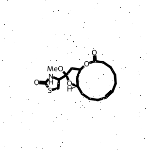 COC1(C2CSC(=O)N2)CC2C[C@@H](CCC/C=C\CCCCC(=O)O2)O1